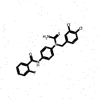 NC(=S)N(Cc1ccc(Cl)c(Cl)c1)c1ccc(NC(=O)c2ccccc2F)cc1